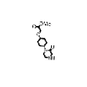 COC(=O)CO[C@H]1CC[C@H](N2CCNCC2=O)CC1